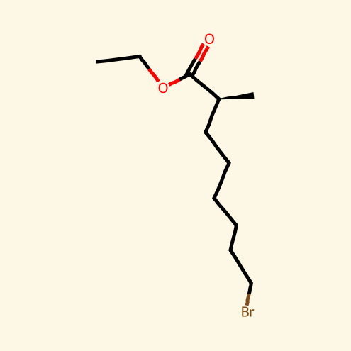 CCOC(=O)[C@@H](C)CCCCCCBr